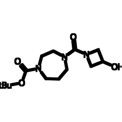 CC(C)(C)OC(=O)N1CCCN(C(=O)N2CC(O)C2)CC1